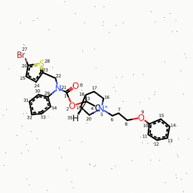 O=C(O[C@H]1C[N+]2(CCCOc3ccccc3)CCC1CC2)N(Cc1ccc(Br)s1)c1ccccc1